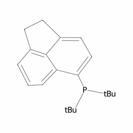 CC(C)(C)P(c1ccc2c3c(cccc13)CC2)C(C)(C)C